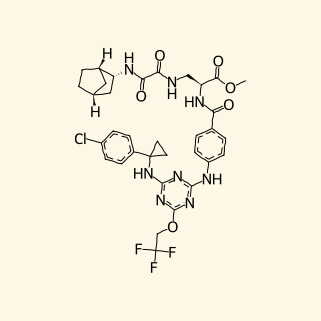 COC(=O)[C@H](CNC(=O)C(=O)N[C@@H]1C[C@@H]2CC[C@H]1C2)NC(=O)c1ccc(Nc2nc(NC3(c4ccc(Cl)cc4)CC3)nc(OCC(F)(F)F)n2)cc1